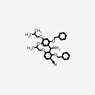 CC(C)COc1ccc(C(N)c2c(OCC(C)C)ccc(C#N)c2OCc2ccccc2)c(OCc2ccccc2)c1